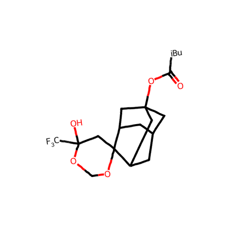 CCC(C)C(=O)OC12CC3CC(C1)C1(CC(O)(C(F)(F)F)OCO1)C(C3)C2